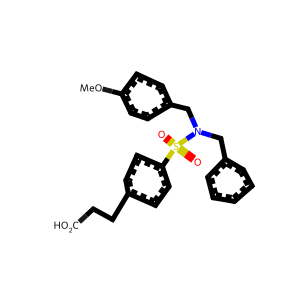 COc1ccc(CN(Cc2ccccc2)S(=O)(=O)c2ccc(CCC(=O)O)cc2)cc1